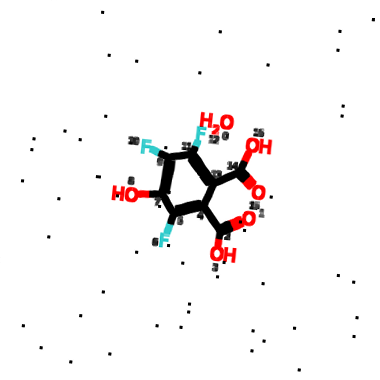 O.O=C(O)c1c(F)c(O)c(F)c(F)c1C(=O)O